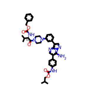 CC(C)COC(=O)Nc1ccc(-c2cnc3c(-c4cccc(N5CCN(C(=O)[C@@H](NC(=O)OCc6ccccc6)C(C)C)CC5)c4)cnn3c2N)cc1